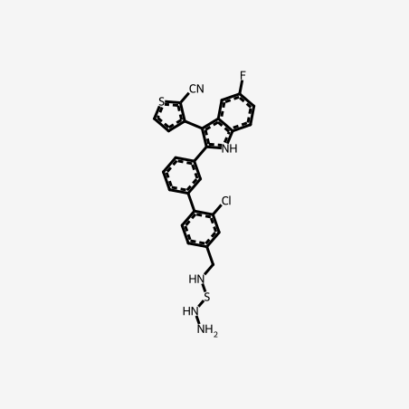 N#Cc1sccc1-c1c(-c2cccc(-c3ccc(CNSNN)cc3Cl)c2)[nH]c2ccc(F)cc12